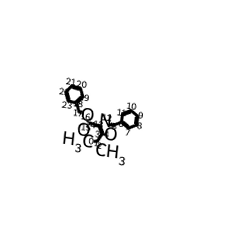 CC(C)c1oc(-c2ccccc2)nc1C(=O)OCc1ccccc1